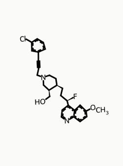 COc1ccc2nccc([C@H](F)CC[C@@H]3CCN(CC#Cc4cccc(Cl)c4)C[C@@H]3CO)c2c1